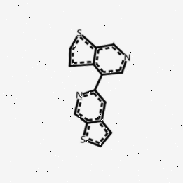 [c]1ncc(-c2cc3ccsc3cn2)c2ccsc12